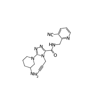 CC#CCn1c(C(=O)NCc2ncccc2C#N)nnc1N1CCCC(N)C1